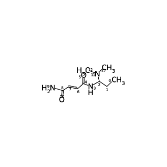 CCC(NC(=O)C=CC(N)=O)N(C)C